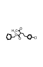 CC(=O)C(CCc1ccc(Cl)cc1)C(=O)OCc1ccccc1